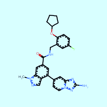 Cn1ncc2c(-c3ccn4nc(N)nc4c3)cc(C(=O)NCc3cc(F)ccc3OC3CCCC3)cc21